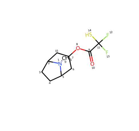 CN1C2CCC1CC(OC(=O)C(F)(F)S)C2